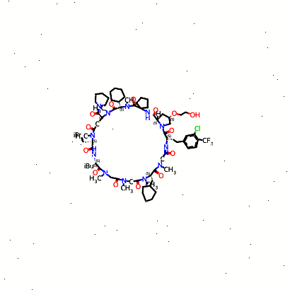 CC[C@H](C)[C@@H]1NC(=O)[C@H](CC(C)C)N(C)C(=O)C[C@@H](C(=O)N2CCCCC2)N(C)C(=O)[C@H](C2CCCCC2)N(C)C(=O)C2(CCCC2)NC(=O)[C@@H]2C[C@H](OCCO)CN2C(=O)[C@H](CCc2ccc(C(F)(F)F)c(Cl)c2)NC(=O)CN(C)C(=O)[C@H](CC2CCCCC2)N(C)C(=O)CN(C)C(=O)CN(C)C1=O